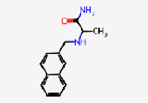 CC(NCc1ccc2ccccc2c1)C(N)=O